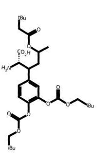 CCC(C)COC(=O)Oc1ccc(C(CC(C)OC(=O)CC(C)(C)C)[C@H](N)C(=O)O)cc1OC(=O)OCC(C)CC